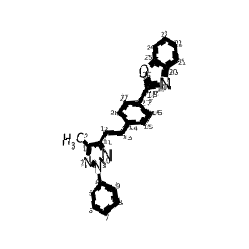 Cc1nn(-c2ccccc2)nc1/C=C/c1ccc(-c2nc3ccccc3o2)cc1